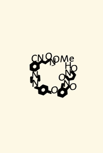 CON(C)C(=O)CCc1cc(N2CCN(Cc3ccc(COc4cccc5c4CN([C@H]4CCC(=O)NC4=O)C5=O)cc3)CC2)ccc1C#N